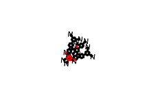 N#Cc1cc(C#N)cc(-c2ccc3c4ccc(-c5cc(C#N)cc(C#N)c5)cc4n(-c4cc(-c5ccc(C#N)cc5C(F)(F)F)cc(-n5c6cc(-c7cc(C#N)cc(C#N)c7)ccc6c6ccc(-c7cc(C#N)cc(C#N)c7)cc65)c4C#N)c3c2)c1